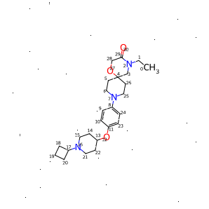 CCN1CC2(CCN(c3ccc(OC4CCN(C5CCC5)CC4)cc3)CC2)OCC1=O